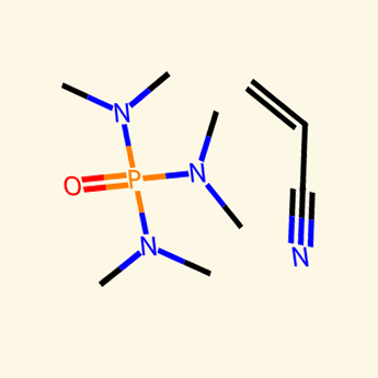 C=CC#N.CN(C)P(=O)(N(C)C)N(C)C